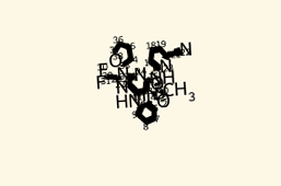 CS(=O)(=O)Nc1ccccc1Nc1cc(Nc2cccc(C#N)n2)nc2c1nc(C(F)F)n2C1CCCCO1